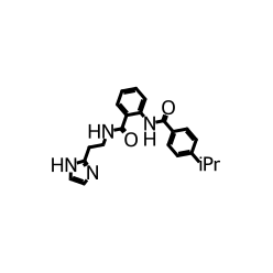 CC(C)c1ccc(C(=O)Nc2ccccc2C(=O)NCCc2ncc[nH]2)cc1